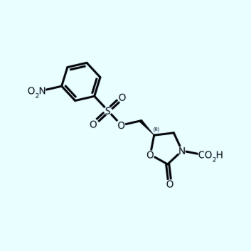 O=C(O)N1C[C@H](COS(=O)(=O)c2cccc([N+](=O)[O-])c2)OC1=O